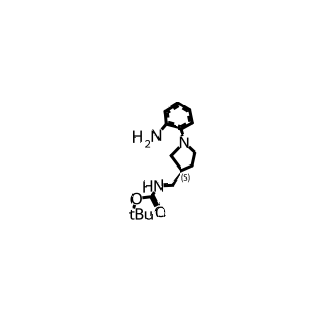 CC(C)(C)OC(=O)NC[C@@H]1CCN(c2ccccc2N)C1